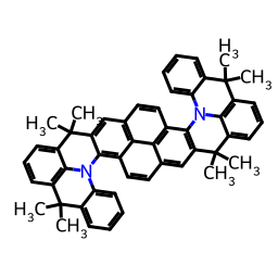 CC1(C)c2ccccc2N2c3c1cccc3C(C)(C)c1cc3ccc4c5c(cc6ccc(c12)c3c64)C(C)(C)c1cccc2c1N5c1ccccc1C2(C)C